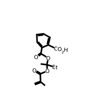 C=C(C)C(=O)OC(C)(CC)OC(=O)c1ccccc1C(=O)O